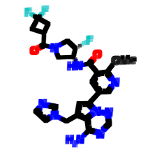 COc1ncc(-c2cc(Cn3ccnc3)c3c(N)ncnn23)cc1C(=O)N[C@@H]1CN(C(=O)C2CC(F)(F)C2)C[C@@H]1F